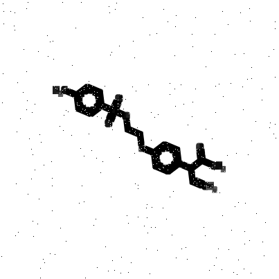 C=CC(C(C)=O)c1ccc(SCCOS(=O)(=O)c2ccc(C)cc2)cc1